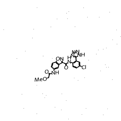 COCC(=O)Nc1ccc2onc(C(=O)Nc3ccc(Cl)cc3-c3nnn[nH]3)c2c1